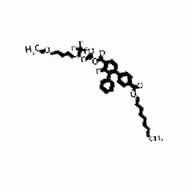 CCCCCCCCCOC(=O)c1ccc(-c2ccc(C(=O)OC(=O)O[C@H](CCCCCOCC)C(F)(F)F)c(F)c2-c2ccccc2)cc1